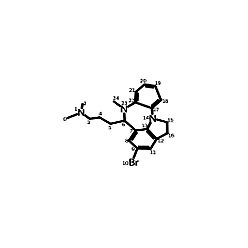 CN(C)CCCC1c2cc(Br)cc3c2N(CC3)c2ccccc2N1C